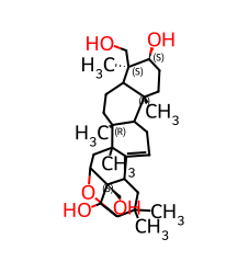 CC1(C)CC2C3=CCC4[C@@]5(C)CC[C@H](O)[C@](C)(CO)C5CC[C@@]4(C)C3(C)CC3OC1C(O)[C@]32CO